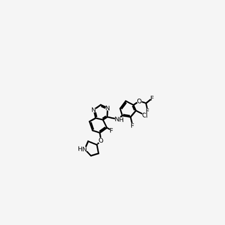 Fc1c(Nc2ncnc3ccc(O[C@H]4CCNC4)c(F)c23)ccc(OC(F)F)c1Cl